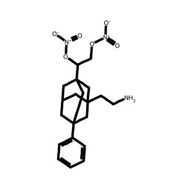 NCCC12CC3CC(c4ccccc4)(C1)CC(C(CO[N+](=O)[O-])O[N+](=O)[O-])(C3)C2